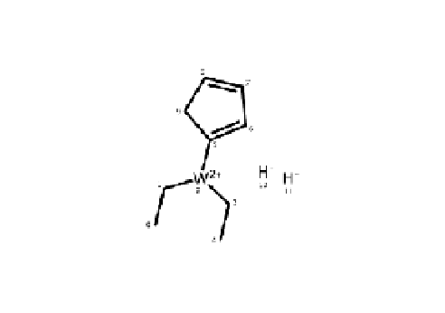 C[CH2][W+2]([CH2]C)[C]1=CC=CC1.[H-].[H-]